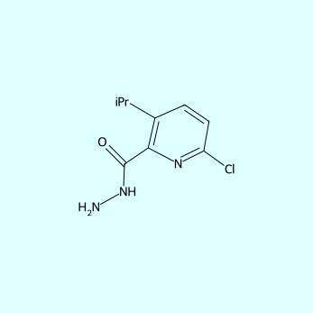 CC(C)c1ccc(Cl)nc1C(=O)NN